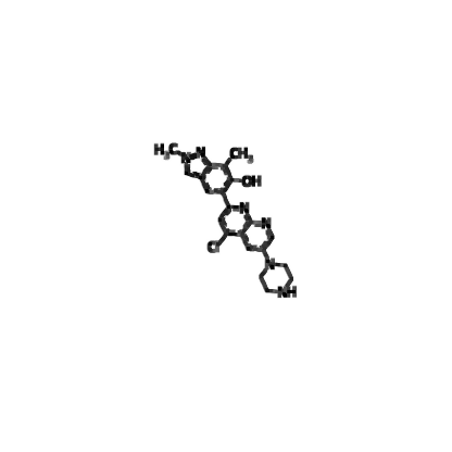 Cc1c(O)c(-c2cc(Cl)c3cc(N4CCNCC4)cnc3n2)cc2cn(C)nc12